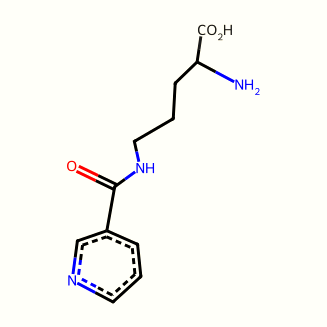 NC(CCCNC(=O)c1cccnc1)C(=O)O